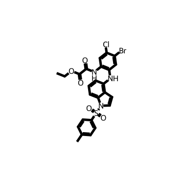 CCOC(=O)C(=O)Nc1cc(Cl)c(Br)cc1Nc1cccc2c1ccn2S(=O)(=O)c1ccc(C)cc1